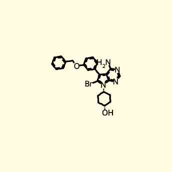 Nc1ncnc2c1c(-c1cccc(OCc3ccccc3)c1)c(Br)n2[C@H]1CC[C@@H](O)CC1